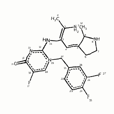 C/C(N)=C(/C=C1/CCNC1C)Nc1nc(=O)c(F)cn1Cc1ccc(F)c(F)c1